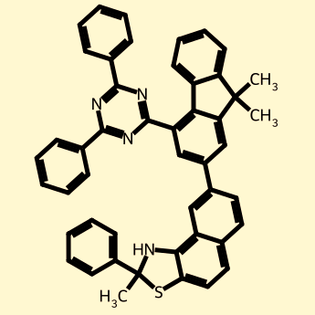 CC1(c2ccccc2)Nc2c(ccc3ccc(-c4cc(-c5nc(-c6ccccc6)nc(-c6ccccc6)n5)c5c(c4)C(C)(C)c4ccccc4-5)cc23)S1